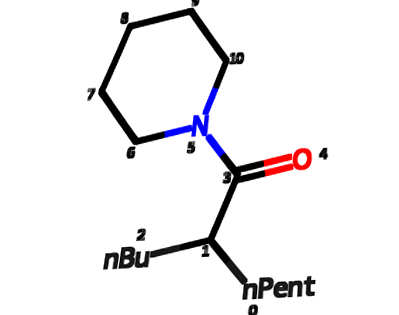 CCCCCC(CCCC)C(=O)N1CCCCC1